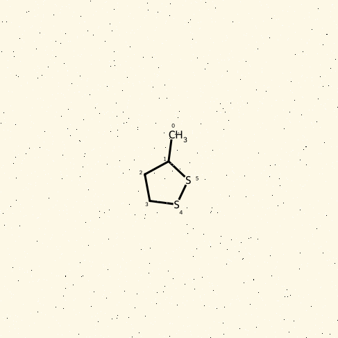 CC1CCSS1